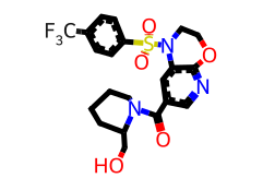 O=C(c1cnc2c(c1)N(S(=O)(=O)c1ccc(C(F)(F)F)cc1)CCO2)N1CCCCC1CO